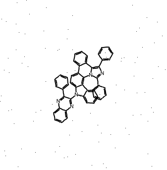 c1ccc(-c2nc3ccccc3nc2-n2c3ccccc3c3c2ccc2c4ccccc4c4c(-c5ccccc5)nc(-c5ccccc5)n4c23)cc1